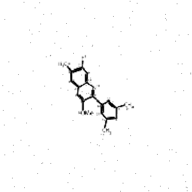 COc1cc2cc(C)c(F)cc2nc1-c1cc(C)cc(C)c1